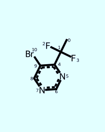 CC(F)(F)c1ncncc1Br